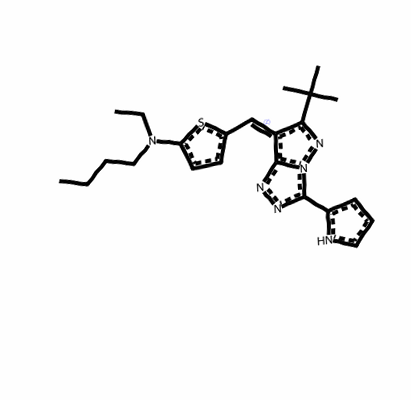 CCCCN(CC)c1ccc(/C=c2/c(C(C)(C)C)nn3c(-c4ccc[nH]4)nnc23)s1